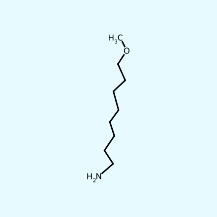 COCCCCCCCCN